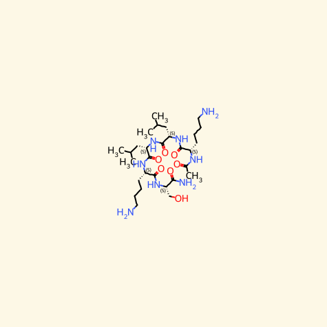 CC(=O)N[C@@H](CCCCN)C(=O)N[C@@H](CC(C)C)C(=O)N[C@@H](CC(C)C)C(=O)N[C@@H](CCCCN)C(=O)N[C@@H](CO)C(N)=O